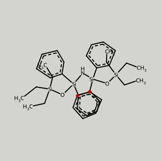 CC[Si](CC)(CC)O[Si](N[Si](O[Si](CC)(CC)CC)(c1ccccc1)c1ccccc1)(c1ccccc1)c1ccccc1